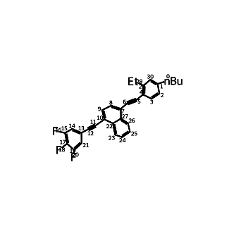 CCCCc1ccc(C#Cc2ccc(C#Cc3cc(F)c(F)c(F)c3)c3ccccc23)c(CC)c1